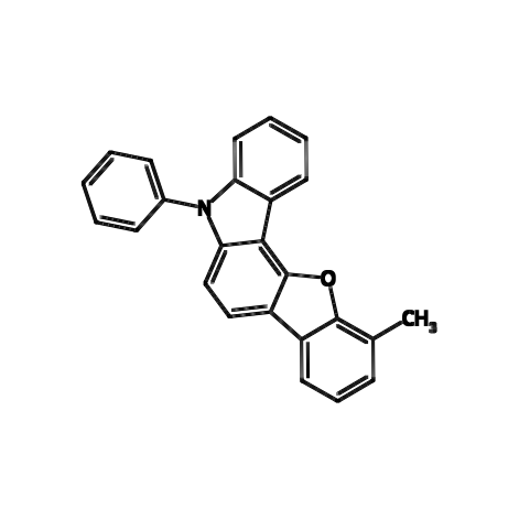 Cc1cccc2c1oc1c2ccc2c1c1ccccc1n2-c1ccccc1